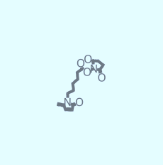 C=C1C=CC(=O)N1CCCCCC(=O)ON1C(=O)CCC1=O